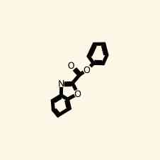 O=C(Oc1ccccc1)c1nc2ccccc2o1